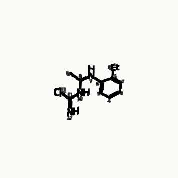 CCc1ccccc1NC(C)NC(=N)Cl